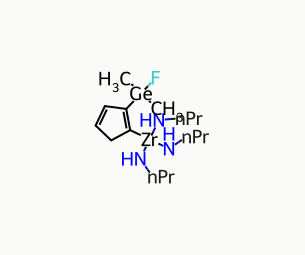 CCC[NH][Zr]([NH]CCC)([NH]CCC)[C]1=[C]([Ge]([CH3])([CH3])[F])C=CC1